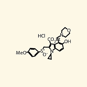 CCOC(=O)c1c(C[S+]([O-])c2ccc(OC)cc2)n(C2CC2)c2ccc(O)c(CN3CCOCC3)c12.Cl